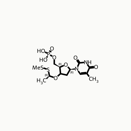 CSS[C@H](C)OC1C[C@H](n2cc(C)c(=O)[nH]c2=O)O[C@@H]1COP(=O)(O)O